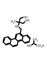 CC(CO)(CO)NCc1cc2c3ccccc3ccc2c2ccccc12.CC(O)C(=O)O